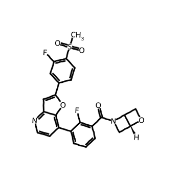 CS(=O)(=O)c1ccc(-c2cc3nccc(-c4cccc(C(=O)N5C[C@H]6OCC65)c4F)c3o2)cc1F